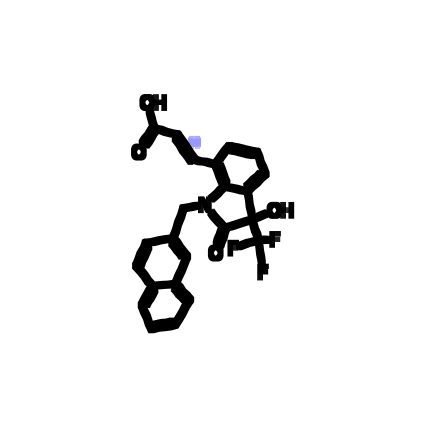 O=C(O)/C=C/c1cccc2c1N(Cc1ccc3ccccc3c1)C(=O)C2(O)C(F)(F)F